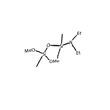 CCN(CC)[Si](C)(C)O[Si](C)(OC)OC